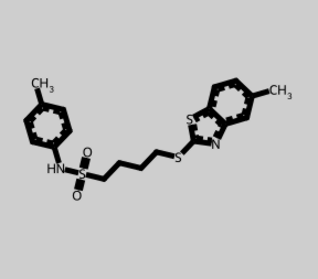 Cc1ccc(NS(=O)(=O)CCCCSc2nc3cc(C)ccc3s2)cc1